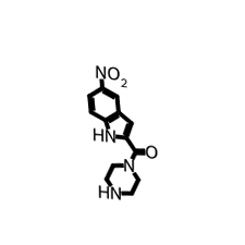 O=C(c1cc2cc([N+](=O)[O-])ccc2[nH]1)N1CCNCC1